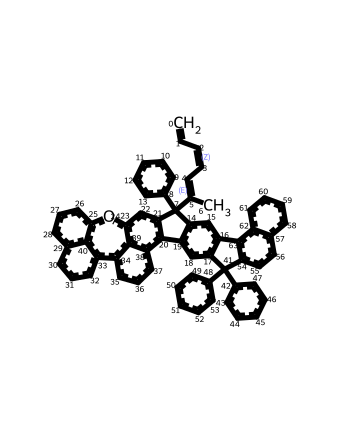 C=C/C=C\C=C(/C)C1(c2ccccc2)c2cc3c(cc2-c2c1cc1oc4cccc5cccc(c6cccc2c16)c54)C(c1ccccc1)(c1ccccc1)c1ccc2ccccc2c1-3